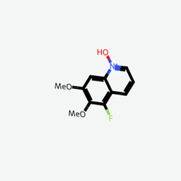 COc1cc2c(ccc[n+]2O)c(F)c1OC